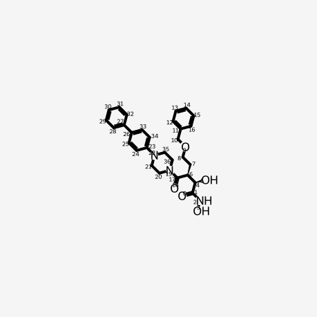 O=C(NO)[C@H](O)[C@H](CCOCc1ccccc1)C(=O)N1CCN(c2ccc(-c3ccccc3)cc2)CC1